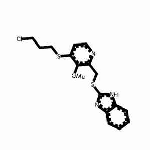 COc1c(SCCCCl)ccnc1CSc1nc2ccccc2[nH]1